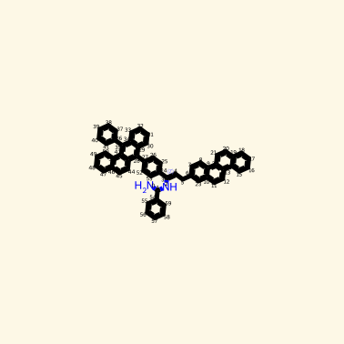 NC(N/C(=C\Cc1ccc2c(ccc3c4ccccc4ccc23)c1)c1ccc(-c2c3ccccc3c(-c3ccccc3)c3c2ccc2ccccc23)cc1)c1ccccc1